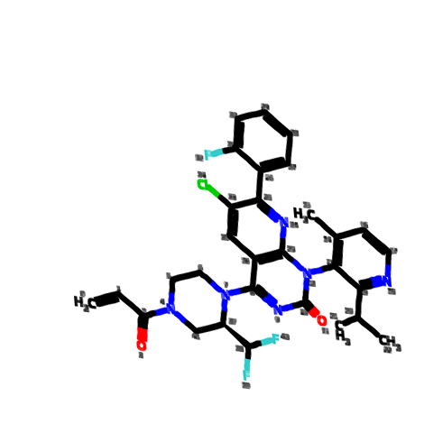 C=CC(=O)N1CCN(c2nc(=O)n(-c3c(C)ccnc3C(C)C)c3nc(-c4ccccc4F)c(Cl)cc23)[C@@H](C(F)F)C1